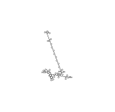 CC(C)[C@H](NC(=O)CCOCCOCCOCCOCCOCCOCCOCCOCCNC(=O)CCCCCN1C(=O)C=CC1=O)C(=O)N[C@@H](CCCCNC(=O)OC(C)(C)C)C(=O)NCC(=O)NCc1c2c(nc3cc4c(cc13)OCO4)-c1cc3c(c(=O)n1C2)COC(=O)[C@@]3(C)O